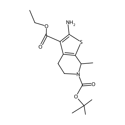 CCOC(=O)c1c(N)sc2c1CCN(C(=O)OC(C)(C)C)C2C